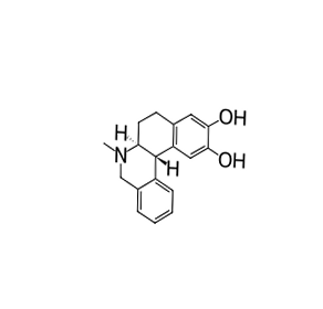 CN1Cc2ccccc2[C@H]2c3cc(O)c(O)cc3CC[C@@H]21